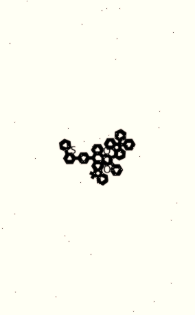 CC1(C)c2ccccc2-c2ccc(C(c3ccc(-c4cccc5c4sc4ccccc45)cc3)c3cccc4oc5c(-c6cccc7c6-c6ccccc6C7(c6ccccc6)c6ccccc6)c6c(cc5c34)oc3ccccc36)cc21